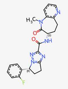 CN1C(=O)[C@@H](NC(=O)c2nc3n(n2)[C@@H](c2ccccc2F)CC3)CCc2ncccc21